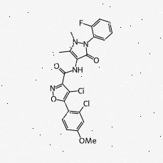 COc1ccc(-c2onc(C(=O)Nc3c(C)n(C)n(-c4ccccc4F)c3=O)c2Cl)c(Cl)c1